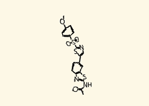 COc1ccc(S(=O)(=O)c2ncc(-c3ccc4nc(NC(C)=O)sc4c3)s2)cc1